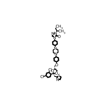 CCC(C)n1ncn(-c2ccc(N3CCN(c4ccc(OC[C@@H]5CO[C@@](Cc6nccs6)(c6ccc(Cl)cc6Cl)O5)cc4)CC3)cc2)c1=O